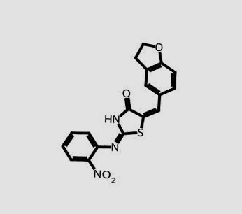 O=C1NC(=Nc2ccccc2[N+](=O)[O-])SC1=Cc1ccc2c(c1)CCO2